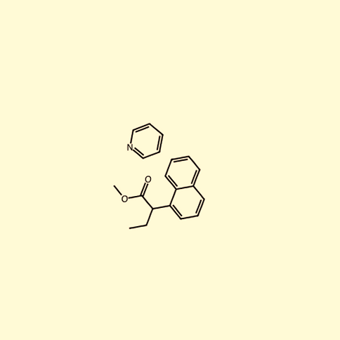 CCC(C(=O)OC)c1cccc2ccccc12.c1ccncc1